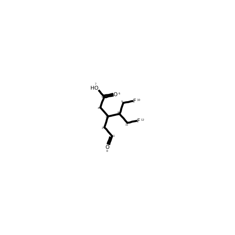 O=CCC(CC(=O)O)C(CF)CF